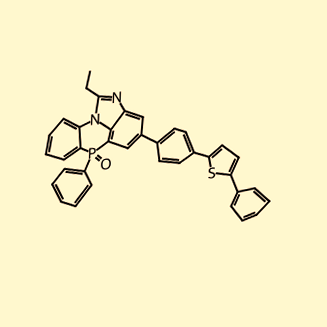 CCc1nc2cc(-c3ccc(-c4ccc(-c5ccccc5)s4)cc3)cc3c2n1-c1ccccc1P3(=O)c1ccccc1